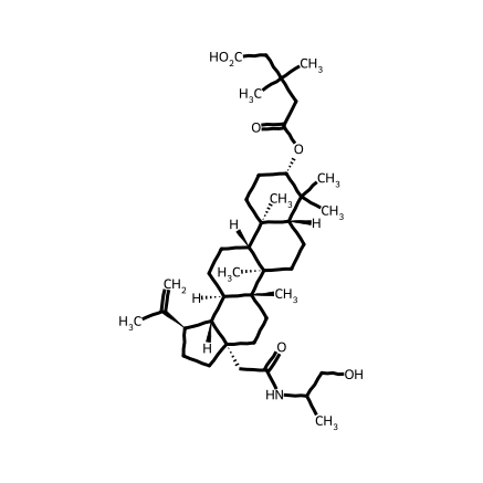 C=C(C)[C@@H]1CC[C@]2(CC(=O)NC(C)CO)CC[C@]3(C)[C@H](CC[C@@H]4[C@@]5(C)CC[C@H](OC(=O)CC(C)(C)CC(=O)O)C(C)(C)[C@@H]5CC[C@]43C)[C@@H]12